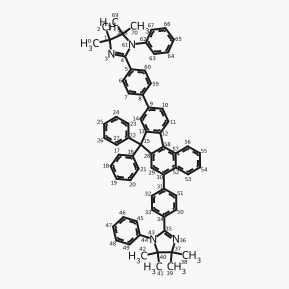 CC1(C)N=C(c2ccc(-c3ccc4c(c3)C(c3ccccc3)(c3ccccc3)c3cc(-c5ccc(C6=NC(C)(C)C(C)(C)N6c6ccccc6)cc5)c5ccccc5c3-4)cc2)N(c2ccccc2)C1(C)C